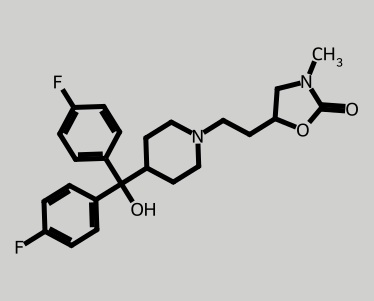 CN1CC(CCN2CCC(C(O)(c3ccc(F)cc3)c3ccc(F)cc3)CC2)OC1=O